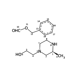 C[C@H]1CN(CCO)CCN1.O=COCc1ccccc1